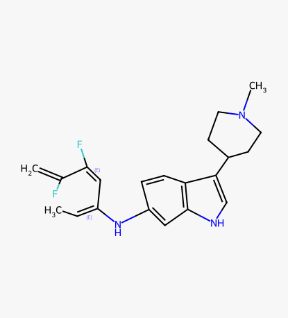 C=C(F)/C(F)=C\C(=C/C)Nc1ccc2c(C3CCN(C)CC3)c[nH]c2c1